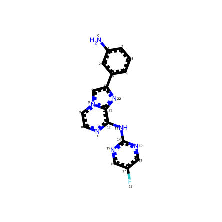 Nc1cccc(-c2cn3ccnc(Nc4ncc(F)cn4)c3n2)c1